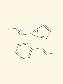 C/C=C/c1c2cccc1-2.C/C=C/c1ccccc1